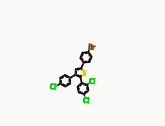 Clc1ccc(-c2cc(-c3ccc(Br)cc3)sc2-c2ccc(Cl)cc2Cl)cc1